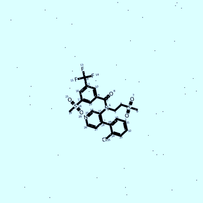 CS(=O)(=O)CCN(C(=O)c1cc(C(F)(F)F)cc(S(C)(=O)=O)c1)c1cnccc1-c1ccccc1Cl